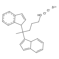 CC(CCCO)(C1=CC=C2C=CC=CC21)C1C=Cc2ccccc21.[Cl-].[Cl-].[Zr+2]